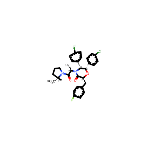 CCC[C@H](C(=O)N1CCC[C@@]1(C)C(=O)O)N1C(=O)[C@H](Cc2ccc(F)cc2)O[C@@H](c2ccc(Cl)cc2)[C@H]1c1ccc(Cl)cc1